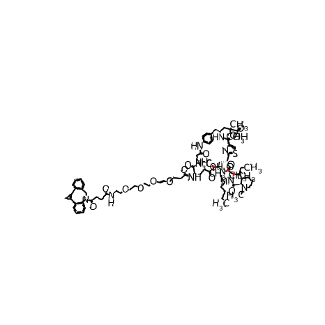 CCCCCCN(C(=O)[C@@H](NC(=O)[C@H]1CCCCN1C)[C@@H](C)CC)[C@H](C[C@@H](OCC)c1nc(C(=O)N[C@@H](Cc2ccc(NC(=O)CNC(=O)[C@H](CCC(=O)O)NC(=O)CCOCCOCCOCCOCCNC(=O)CCC(=O)N3Cc4ccccc4C4=C(C4)c4ccccc43)cc2)CC(C)(C)C(=O)O)cs1)C(C)C